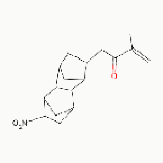 C=C(C)C(=O)CC1CC2CC1C1C3CC(C21)C([N+](=O)[O-])C3